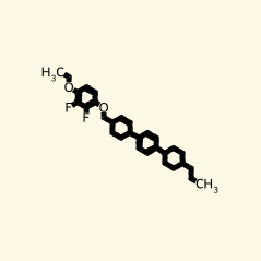 CCCC1CCC(c2ccc(C3C=CC(COc4ccc(OCC)c(F)c4F)CC3)cc2)CC1